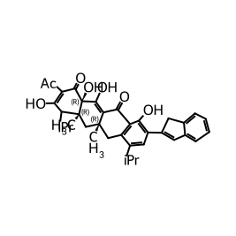 CC(=O)C1=C(O)C(C(C)C)[C@@]2(C)C[C@@]3(C)Cc4c(C(C)C)cc(C5=Cc6ccccc6C5)c(O)c4C(=O)C3=C(O)[C@@]2(O)C1=O